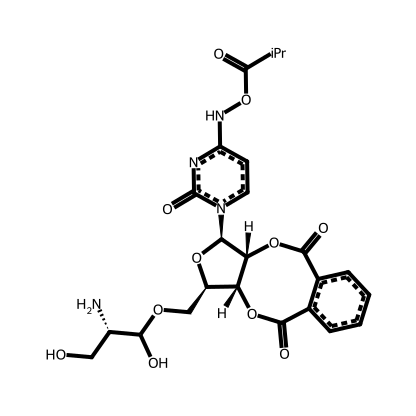 CC(C)C(=O)ONc1ccn([C@@H]2O[C@H](COC(O)[C@@H](N)CO)[C@H]3OC(=O)c4ccccc4C(=O)O[C@H]32)c(=O)n1